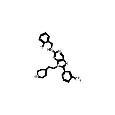 FC(F)(F)c1cccc(-c2nc3cnc(NCc4ccccc4Cl)nc3n2CCC2CCNCC2)c1